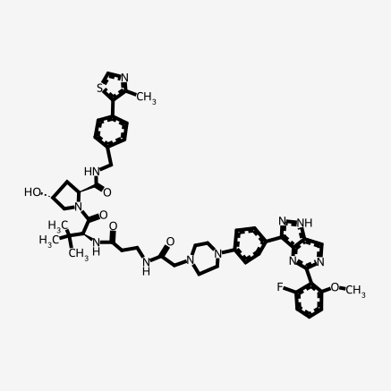 COc1cccc(F)c1-c1ncc2[nH]nc(-c3ccc(N4CCN(CC(=O)NCCC(=O)N[C@H](C(=O)N5C[C@H](O)C[C@H]5C(=O)NCc5ccc(-c6scnc6C)cc5)C(C)(C)C)CC4)cc3)c2n1